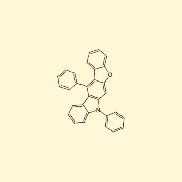 c1ccc(-c2c3c(cc4c2c2ccccc2n4-c2ccccc2)oc2ccccc23)cc1